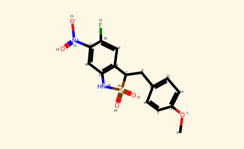 COc1ccc(CC2c3cc(F)c([N+](=O)[O-])cc3NS2(=O)=O)cc1